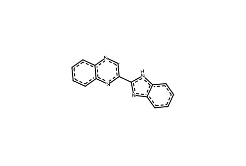 [c]1nc2ccccc2nc1-c1nc2ccccc2[nH]1